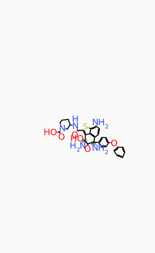 Nc1ccc2c3c(c(C(=O)NC4CCCN(C(=O)O)C4)sc13)[C@@](N)(O)C(=O)[C@@]2(N)c1ccc(Oc2ccccc2)cc1